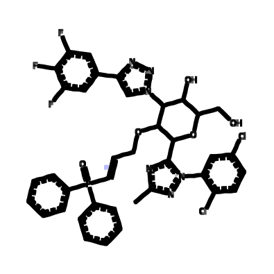 Cc1nc(C2OC(CO)C(O)C(n3cc(-c4cc(F)c(F)c(F)c4)nn3)C2OC/C=C/P(=O)(c2ccccc2)c2ccccc2)n(-c2cc(Cl)ccc2Cl)n1